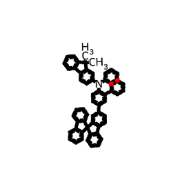 CC1(C)c2ccccc2-c2ccc(N(c3ccccc3)c3ccc(-c4ccc5c(c4)C4(c6ccccc6-c6ccccc64)c4ccccc4-5)cc3-c3ccccc3)cc21